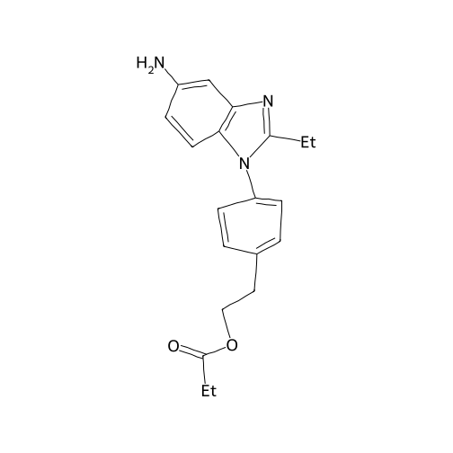 CCC(=O)OCCc1ccc(-n2c(CC)nc3cc(N)ccc32)cc1